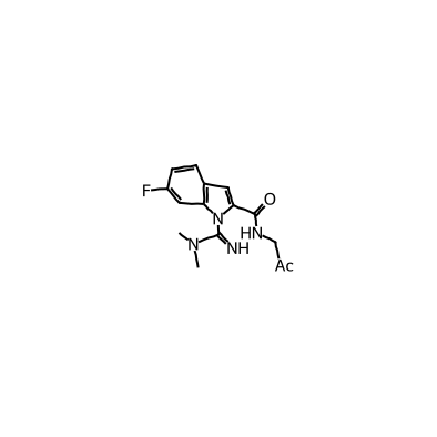 CC(=O)CNC(=O)c1cc2ccc(F)cc2n1C(=N)N(C)C